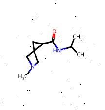 CC(C)NC(=O)C1CC12CN(C)C2